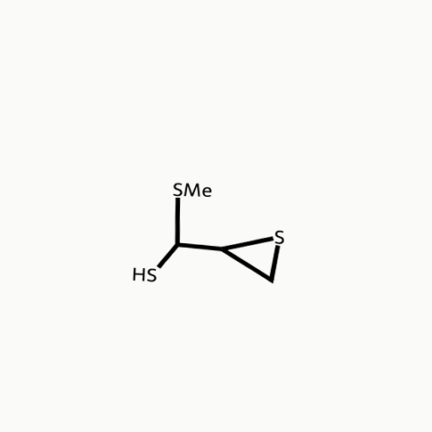 CSC(S)C1CS1